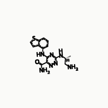 C[C@H](CN)Nc1nnc(C(N)=O)c(Nc2cccc3sccc23)n1